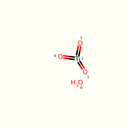 O.[O]=[Ti](=[O])=[O]